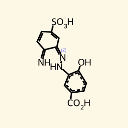 N=C1C=CC(S(=O)(=O)O)=C/C1=N/Nc1cc(C(=O)O)ccc1O